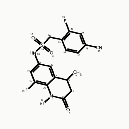 CCN1C(=O)CC(C)c2cc(NS(=O)(=O)Cc3ccc(C#N)cc3F)cc(F)c21